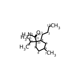 CCCCC1CC(C)CCC1(C(N)=O)C(C)C